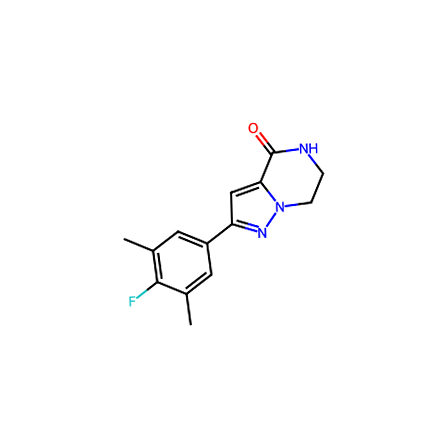 Cc1cc(-c2cc3n(n2)CCNC3=O)cc(C)c1F